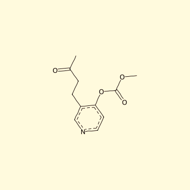 COC(=O)Oc1ccncc1CCC(C)=O